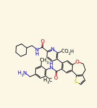 Cc1cc(CN)cc(C)c1NC(=O)c1cc2c(cc1-c1ccc(C(=O)NCC3CCCCC3)nc1C(=O)O)OCCc1ccsc1-2